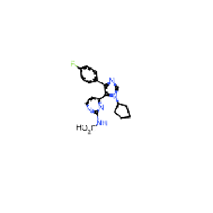 O=C(O)Nc1nccc(-c2c(-c3ccc(F)cc3)ncn2C2CCCC2)n1